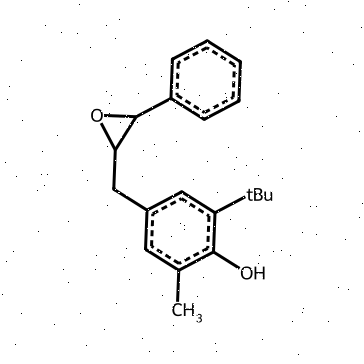 Cc1cc(CC2OC2c2ccccc2)cc(C(C)(C)C)c1O